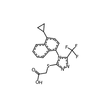 O=C(O)CSc1nnc(C(F)(F)F)n1-c1ccc(C2CC2)c2ccccc12